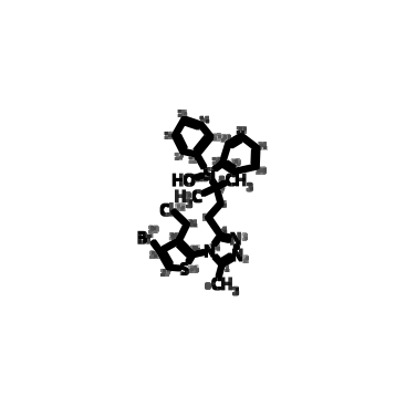 Cc1nnc(CCC(C)(C)[Si](O)(c2ccccc2)c2ccccc2)n1-c1scc(Br)c1CCl